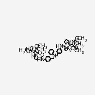 COC(=O)N[C@H](C(=O)N1CCC[C@H]1C(=O)Nc1ccc(CN(Cc2ccc(NC(=O)[C@@H]3CCCN3C(=O)[C@@H](NC(=O)OC)C(C)(C)OC)cc2)c2ccccc2)cc1)C(C)(C)OC